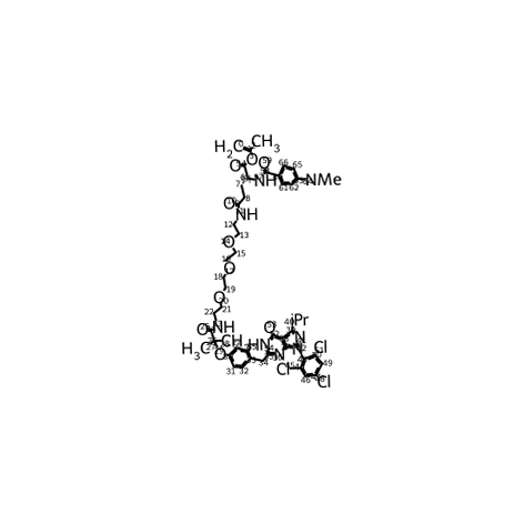 C=C(C)OC(=O)[C@@H](CCC(=O)NCCOCCOCCOCCNC(=O)C(C)(C)Oc1ccc(Cc2nc3c(c(C(C)C)nn3-c3c(Cl)cc(Cl)cc3Cl)c(=O)[nH]2)cc1)NC(=O)c1ccc(NC)cc1